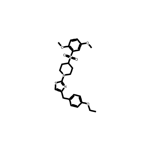 CCOc1ccc(Cc2csc(N3CCC(S(=O)(=O)c4cc(OC)ccc4OC)CC3)n2)cc1